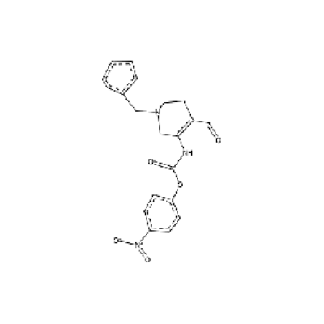 O=CC1=C(NC(=O)Oc2ccc([N+](=O)[O-])cc2)CN(Cc2ccccc2)CC1